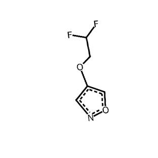 FC(F)COc1cnoc1